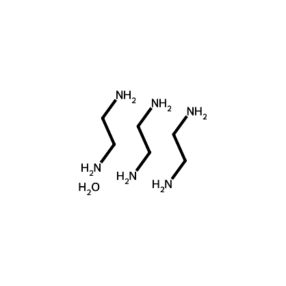 NCCN.NCCN.NCCN.O